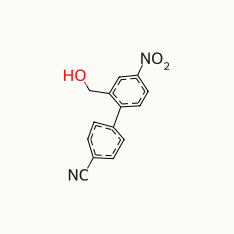 N#Cc1ccc(-c2ccc([N+](=O)[O-])cc2CO)cc1